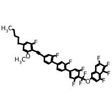 CCCCCc1cc(F)c(C#Cc2ccc(-c3ccc(-c4cc(F)c(C(F)(F)Oc5cc(F)c6c(F)c(F)c(F)cc6c5)c(F)c4)c(F)c3)c(F)c2)c(OC)c1